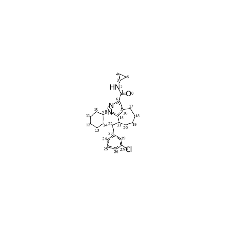 O=C(NC1CC1)c1nn(C2CCCCC2)c2c1CCCCC2Cc1cccc(Cl)c1